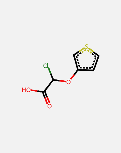 O=C(O)C(Cl)Oc1ccsc1